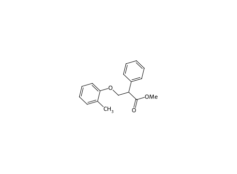 COC(=O)C(COc1ccccc1C)c1ccccc1